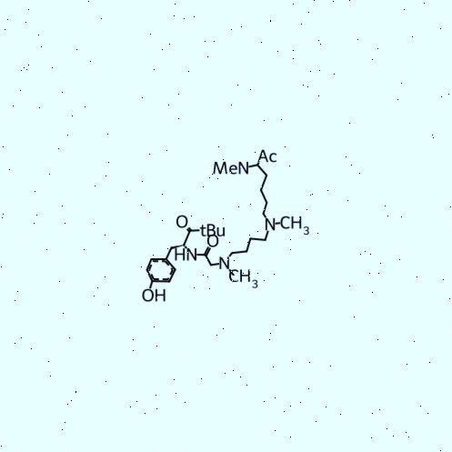 CNC(CCCCN(C)CCCCN(C)CC(=O)N[C@@H](Cc1ccc(O)cc1)C(=O)C(C)(C)C)C(C)=O